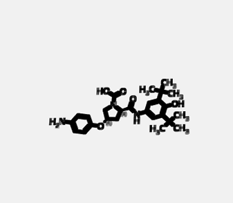 CC(C)(C)c1cc(NC(=O)[C@H]2C[C@H](Oc3ccc(N)cc3)CN2C(=O)O)cc(C(C)(C)C)c1O